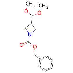 COC(OC)C1CN(C(=O)OCc2ccccc2)C1